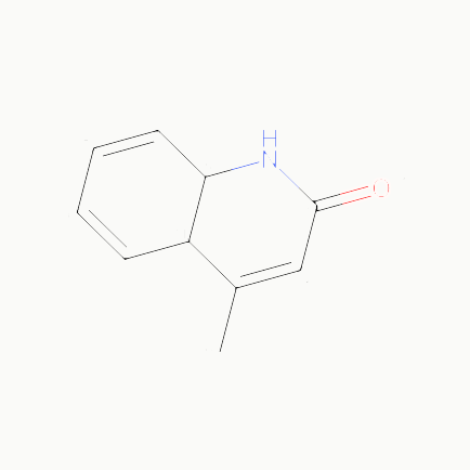 CC1=CC(=O)NC2C=CC=CC12